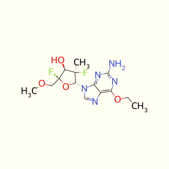 CCOc1nc(N)nc2c1ncn2[C@@H]1O[C@](F)(COC)[C@@H](O)[C@@]1(C)F